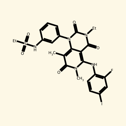 CCn1c(=O)c2c(Nc3ccc(I)cc3F)n(C)c(=O)c(C)c2n(-c2cccc(NS(=O)(=O)CC)c2)c1=O